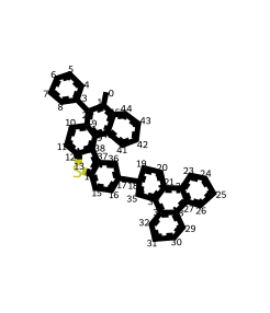 Cc1c(-c2ccccc2)c2ccc3sc4ccc(-c5ccc6c7ccccc7c7ccccc7c6c5)cc4c3c2c2ccccc12